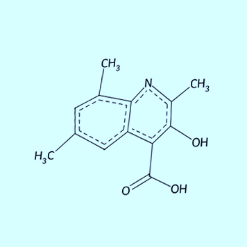 Cc1cc(C)c2nc(C)c(O)c(C(=O)O)c2c1